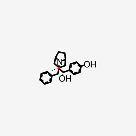 C[C@@H]([C@@H](O)c1ccc(O)cc1)N1C2CCC1CC(Cc1ccccc1)C2